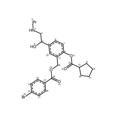 CC(C)NCC(O)c1ccc(OC(=O)C2CCCC2)c(COC(=O)c2ccc(Br)cc2)c1